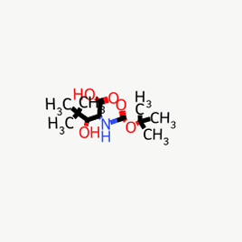 CC(C)(C)OC(=O)NC(C(=O)O)C(O)C(C)(C)C